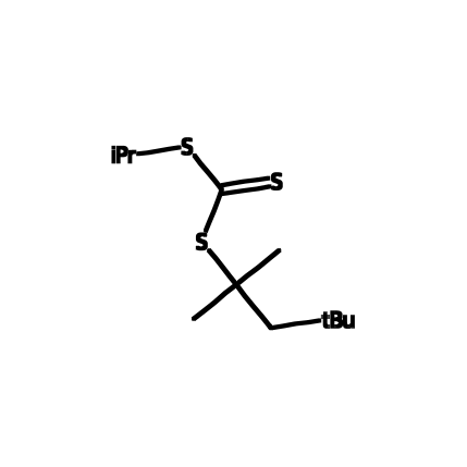 CC(C)SC(=S)SC(C)(C)CC(C)(C)C